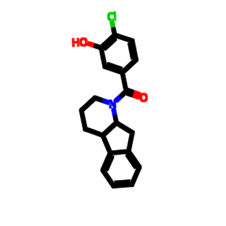 O=C(c1ccc(Cl)c(O)c1)N1CCCC2c3ccccc3CC21